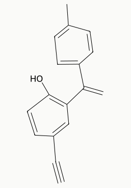 C#Cc1ccc(O)c(C(=C)c2ccc(C)cc2)c1